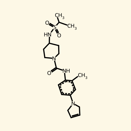 Cc1cc(N2CC=CC2)ccc1NC(=O)N1CCC(NS(=O)(=O)C(C)C)CC1